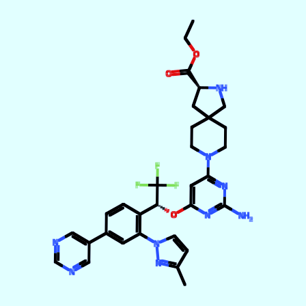 CCOC(=O)[C@@H]1CC2(CCN(c3cc(O[C@H](c4ccc(-c5cncnc5)cc4-n4ccc(C)n4)C(F)(F)F)nc(N)n3)CC2)CN1